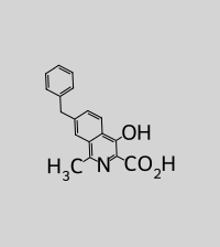 Cc1nc(C(=O)O)c(O)c2ccc(Cc3ccccc3)cc12